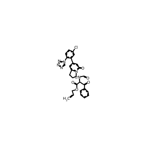 C=CCOC(=O)C(C(=O)c1ccccc1)N(C=O)[C@@H]1CCc2cc(-c3cc(Cl)ccc3-n3cnnn3)cc(=O)n21